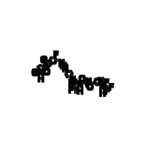 O=C1CCC(N2Cc3cc(CN4CCN(c5ccc(-n6cc(NC(=O)c7coc(-c8ccnc(NC(F)C(F)F)c8)n7)c(C(F)F)n6)cc5)CC4)c(F)cc3C2=O)C(=O)N1